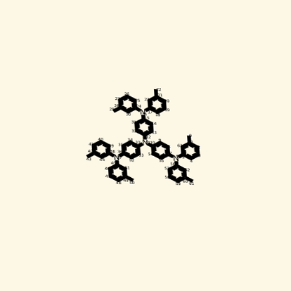 Cc1cccc(N(c2ccc(N(c3ccc(N(c4cccc(C)c4)c4cccc(C)c4)cc3)c3ccc(N(c4cccc(C)c4)c4cccc(C)c4)cc3)cc2)c2cccc(C)c2)c1